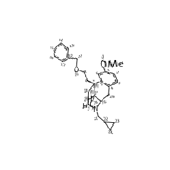 COc1ccc2c(c1)[C@@]1(CCOCc3ccccc3)CCN(CC3CC3)C(C2)[C@@H]1C